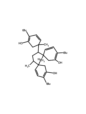 CC(CC(C1(C)C=CC(C(C)(C)C)=C(O)C1)C1(C)C=CC(C(C)(C)C)=C(O)C1)C1(C)C=CC(C(C)(C)C)=C(O)C1